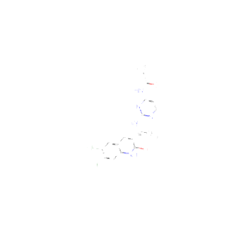 C[C@H](Nc1nccc(NC(=O)C2CC2)n1)c1cc2cc(Cl)c(F)cc2[nH]c1=O